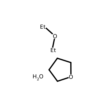 C1CCOC1.CCOCC.O